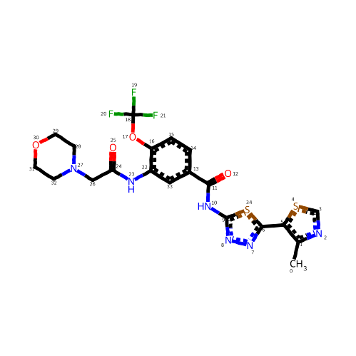 Cc1ncsc1-c1nnc(NC(=O)c2ccc(OC(F)(F)F)c(NC(=O)CN3CCOCC3)c2)s1